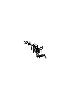 CCCCC(C)(C)Cc1ccc(C[n+]2ccn(CCCNC(=O)NC(=N)NC(=O)NC(=O)NCCCn3cc[n+](C(C)(CCC)CCCC)c3)c2)cc1